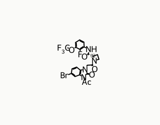 CC(=O)n1c(=O)n(CC(=O)N2CC[C@H]2C(=O)Nc2cccc(OC(F)(F)F)c2F)c2ccc(Br)cc21